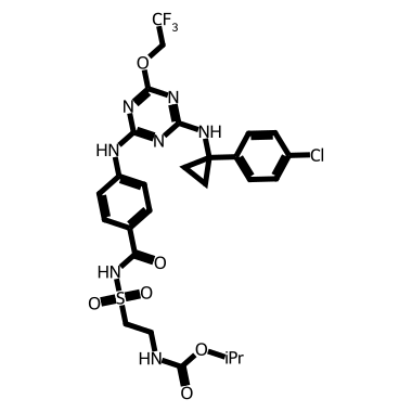 CC(C)OC(=O)NCCS(=O)(=O)NC(=O)c1ccc(Nc2nc(NC3(c4ccc(Cl)cc4)CC3)nc(OCC(F)(F)F)n2)cc1